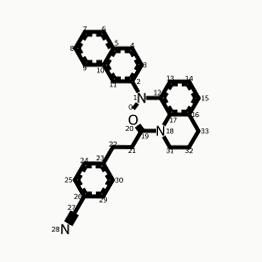 CN(c1ccc2ccccc2c1)c1cccc2c1N(C(=O)CCc1ccc(C#N)cc1)CCC2